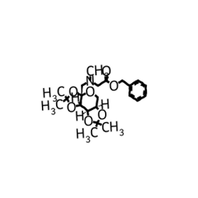 CN(CC(=O)OCc1ccccc1)C[C@@]12OC[C@H]3OC(C)(C)O[C@H]3[C@@H]1OC(C)(C)O2